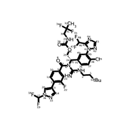 CC(C)(C)CCNC(=N)N(C(=O)c1ccc(-c2cnn(C(F)F)c2)c(F)c1)[C@H](COC(=O)NCC(C)(F)F)c1ccc(Cl)c(-n2ncnc2C(F)F)c1